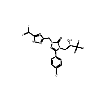 O=c1n(Cc2n[nH]c(C(F)F)n2)nc(-c2ccc(Cl)cc2)n1C[C@H](O)C(F)(F)F